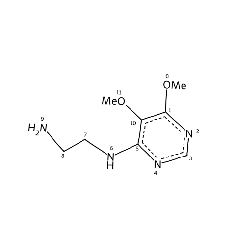 COc1ncnc(NCCN)c1OC